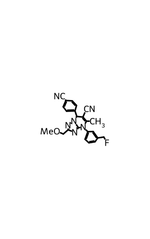 COCc1nc2n(n1)C(c1ccc(C#N)cc1)C(C#N)=C(C)N2c1cccc(CF)c1